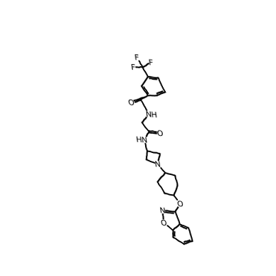 O=C(CNC(=O)c1cccc(C(F)(F)F)c1)NC1CN(C2CCC(Oc3noc4ccccc34)CC2)C1